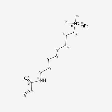 C=CC(=O)NCCCCCCCC[N+](C)(C)CCC